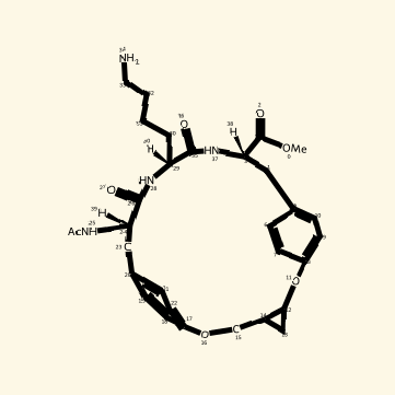 COC(=O)[C@@H]1Cc2ccc(cc2)OC2CC2COc2ccc(cc2)C[C@H](NC(C)=O)C(=O)N[C@H](CCCCN)C(=O)N1